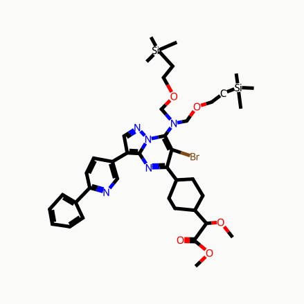 COC(=O)C(OC)C1CCC(c2nc3c(-c4ccc(-c5ccccc5)nc4)cnn3c(N(COCC[Si](C)(C)C)COCC[Si](C)(C)C)c2Br)CC1